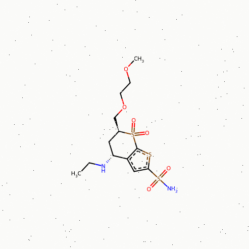 CCN[C@@H]1C[C@@H](COCCOC)S(=O)(=O)c2sc(S(N)(=O)=O)cc21